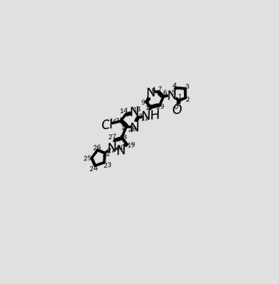 O=C1CCCN1c1cncc(Nc2ncc(Cl)c(-c3cnn(C4CCCC4)c3)n2)c1